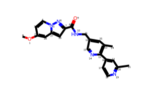 COc1ccn2nc(C(=O)NCc3cnc(-c4ccnc(C)c4)c(C)c3)cc2c1